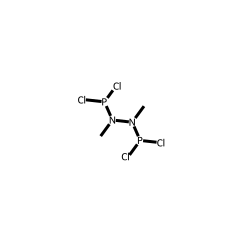 CN(N(C)P(Cl)Cl)P(Cl)Cl